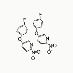 O=[N+]([O-])c1ccc(Oc2ccc(F)cc2)cn1.O=[N+]([O-])c1ccc(Oc2ccc(F)cc2)cn1